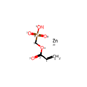 C=CC(=O)OCS(=O)(=O)O.[Zn]